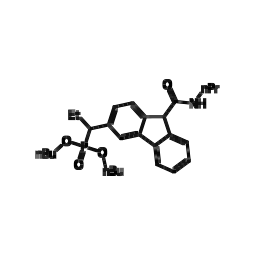 CCCCOP(=O)(OCCCC)C(CC)c1ccc2c(c1)-c1ccccc1C2C(=O)NCCC